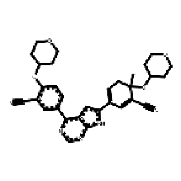 CC1(OC2CCOCC2)CC=C(c2cc3c(-c4ccc(OC5CCOCC5)c(C#N)c4)ncnc3[nH]2)C=C1C#N